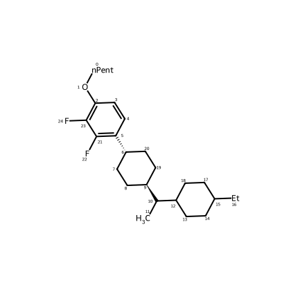 CCCCCOc1ccc([C@H]2CC[C@H](C(C)C3CCC(CC)CC3)CC2)c(F)c1F